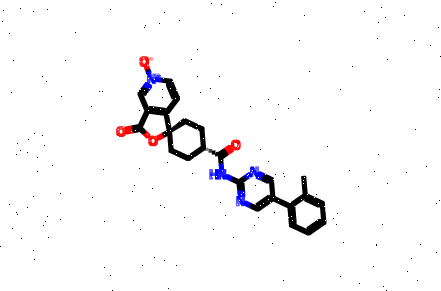 Cc1ccccc1-c1cnc(NC(=O)[C@H]2CC[C@@]3(CC2)OC(=O)c2c[n+]([O-])ccc23)nc1